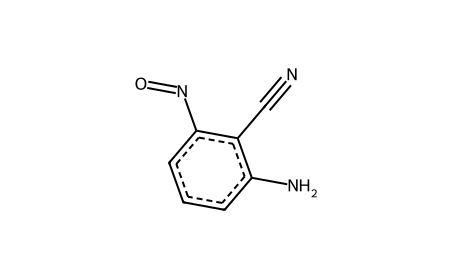 N#Cc1c(N)cccc1N=O